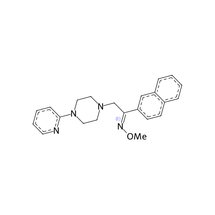 CO/N=C(/CN1CCN(c2ccccn2)CC1)c1ccc2ccccc2c1